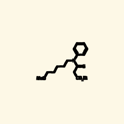 CCOC(=O)CC(=S)N(CCCCCOC)c1ccccc1